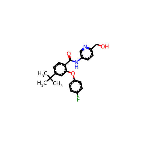 CC(C)(C)c1ccc(C(=O)Nc2ccc(CO)nc2)c(Oc2ccc(F)cc2)c1